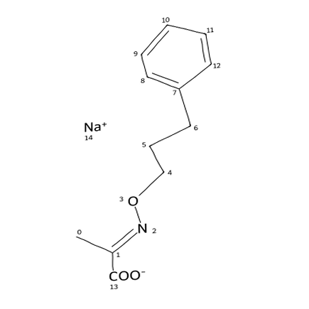 CC(=NOCCCc1ccccc1)C(=O)[O-].[Na+]